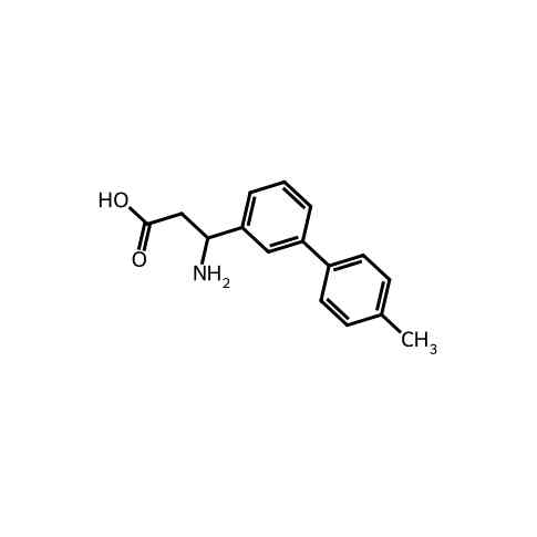 Cc1ccc(-c2cccc(C(N)CC(=O)O)c2)cc1